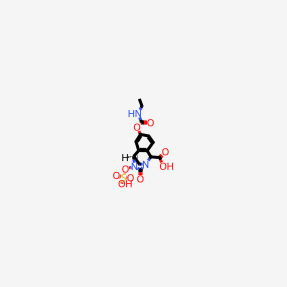 CCNC(=O)Oc1ccc2c(c1)[C@H]1CN(C(=O)N1OS(=O)(=O)O)C2C(=O)O